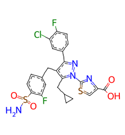 NS(=O)(=O)c1ccc(Cc2c(-c3ccc(F)c(Cl)c3)nn(-c3nc(C(=O)O)cs3)c2CC2CC2)cc1F